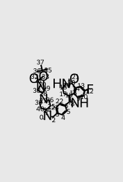 CN(Cc1ccc(-c2[nH]c3cc(F)cc4c3c2CCNC4=O)cc1)C1CCN(C2CN(C(=O)OC(C)(C)C)C2)CC1